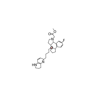 COC(=O)CN1CCC(OCCCCc2ccc3c(n2)CCCN3)C1c1cc(F)ccc1C1CCCO1